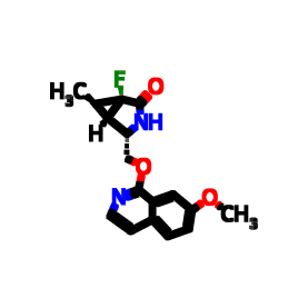 COc1ccc2ccnc(OC[C@H]3NC(=O)[C@@]4(F)[C@H]3[C@H]4C)c2c1